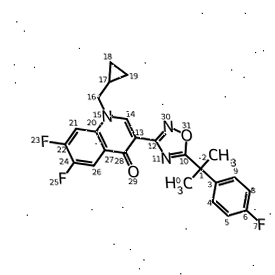 CC(C)(c1ccc(F)cc1)c1nc(-c2cn(CC3CC3)c3cc(F)c(F)cc3c2=O)no1